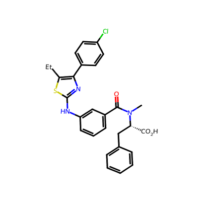 CCc1sc(Nc2cccc(C(=O)N(C)[C@@H](Cc3ccccc3)C(=O)O)c2)nc1-c1ccc(Cl)cc1